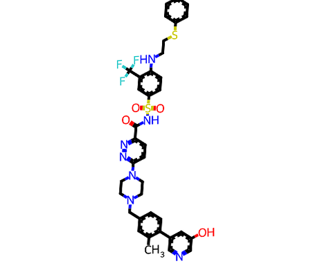 Cc1cc(CN2CCN(c3ccc(C(=O)NS(=O)(=O)c4ccc(NCCSc5ccccc5)c(C(F)(F)F)c4)nn3)CC2)ccc1-c1cncc(O)c1